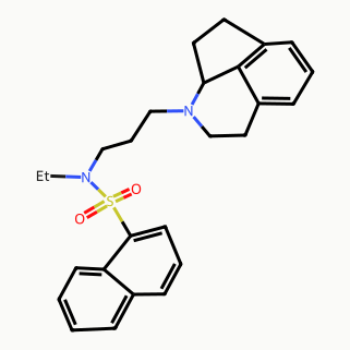 CCN(CCCN1CCc2cccc3c2C1CC3)S(=O)(=O)c1cccc2ccccc12